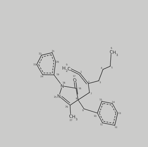 C=C=C(CCCC)CC1(Cc2ccccc2)C(=O)N(c2ccccc2)N=C1C